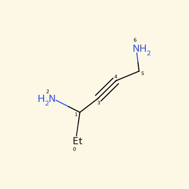 CCC(N)C#CCN